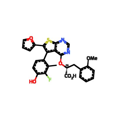 COc1ccccc1C[C@@H](Oc1ncnc2sc(-c3ccco3)c(-c3ccc(O)c(F)c3C)c12)C(=O)O